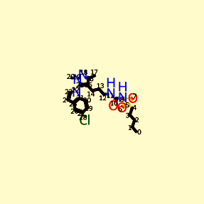 CCCCCS(=O)(=O)NC(=O)NCCCc1c(C)nn(C)c1-n1ccc2cc(Cl)ccc21